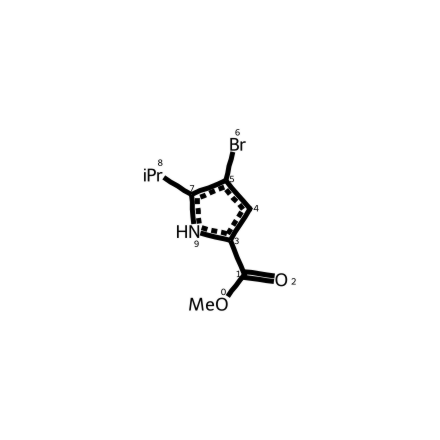 COC(=O)c1cc(Br)c(C(C)C)[nH]1